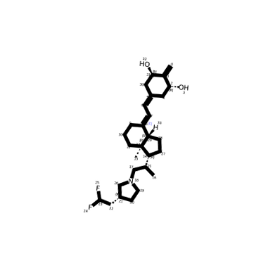 C=C1[C@H](O)CC(=C/C=C2\CCC[C@]3(C)[C@@H](C(C)CN4CC[C@H](CC(F)F)C4)CC[C@@H]23)C[C@H]1O